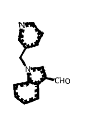 O=Cc1[c]n(Cc2cccnc2)c2ccccc12